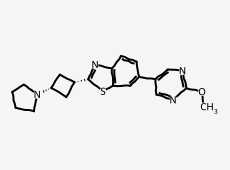 COc1ncc(-c2ccc3nc([C@H]4C[C@@H](N5CCCC5)C4)sc3c2)cn1